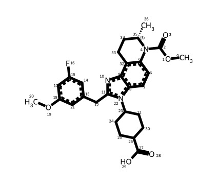 COC(=O)N1c2ccc3c(nc(Cc4cc(F)cc(OC)c4)n3C3CCC(C(=O)O)CC3)c2CC[C@@H]1C